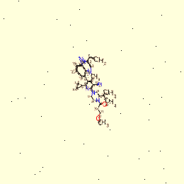 C=Cc1cnc2c(-c3c(C4CC4)nc(N4CCN(C(=O)CCOC)[C@H](C(C)C)C4)c(C#N)c3C)cccc2n1